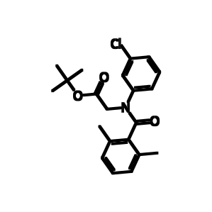 Cc1cccc(C)c1C(=O)N(CC(=O)OC(C)(C)C)c1cccc(Cl)c1